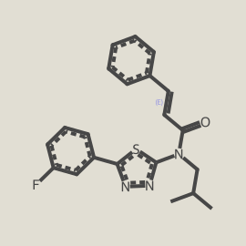 CC(C)CN(C(=O)/C=C/c1ccccc1)c1nnc(-c2cccc(F)c2)s1